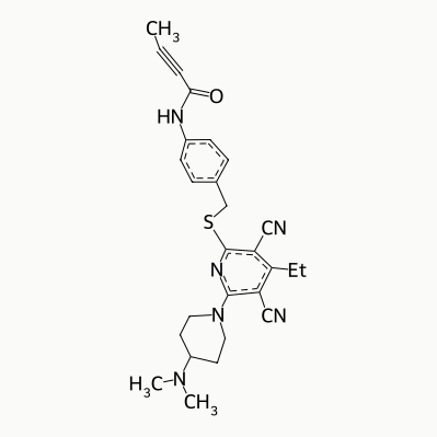 CC#CC(=O)Nc1ccc(CSc2nc(N3CCC(N(C)C)CC3)c(C#N)c(CC)c2C#N)cc1